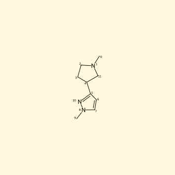 CN1CCC(c2ccn(C)n2)C1